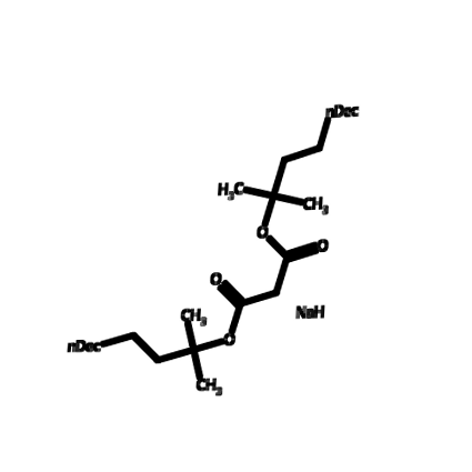 CCCCCCCCCCCCC(C)(C)OC(=O)CC(=O)OC(C)(C)CCCCCCCCCCCC.[NaH]